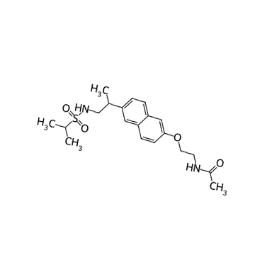 CC(=O)NCCOc1ccc2cc(C(C)CNS(=O)(=O)C(C)C)ccc2c1